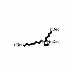 CCCCCCCCCCCCCCCCCCN1C=CN(CCCCCCCCCC)C1CCCCCCCCCCCCCC